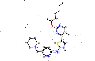 CCCCCC(C)Oc1ncc(C)c(-c2cnc(Nc3ccc(CN4CCCCC4)cn3)s2)n1